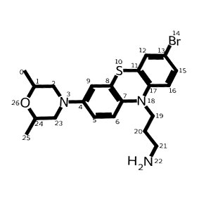 CC1CN(c2ccc3c(c2)Sc2cc(Br)ccc2N3CCCN)CC(C)O1